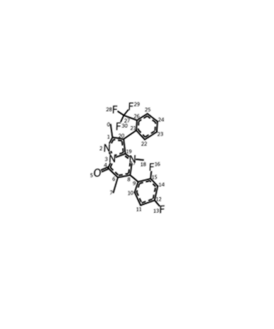 Cc1nn2c(=O)c(C)c(-c3ccc(F)cc3F)n(C)c2c1-c1ccccc1C(F)(F)F